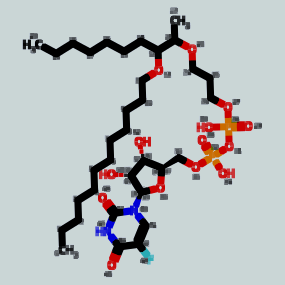 CCCCCCCCCCCCOC(CCCCCCC)C(C)OCCCOP(=O)(O)OP(=O)(O)OC[C@H]1O[C@@H](n2cc(F)c(=O)[nH]c2=O)[C@H](O)[C@@H]1O